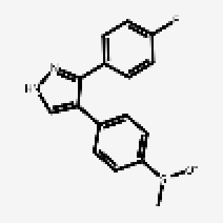 C[S+]([O-])c1ccc(-c2c[nH]nc2-c2ccc(F)cc2)cc1